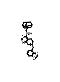 c1cc(CN2CCc3c(ncnc3NCC34CC5CC(CC(C5)C3)C4)C2)c2c(c1)OCO2